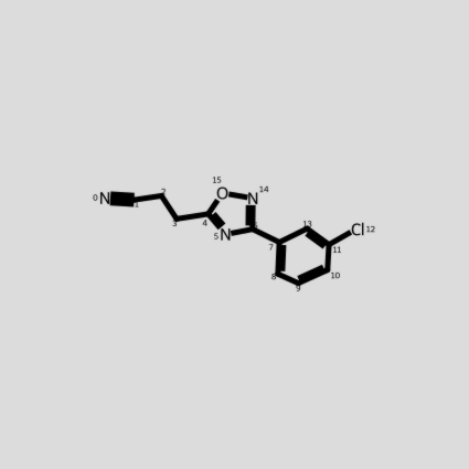 N#CCCc1nc(-c2cccc(Cl)c2)no1